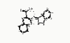 NC(=O)c1cc2ccccc2nc1N[C@@H]1CCc2ccccc21